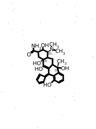 CN(C)[C@@H]1C(O)C(C(N)=O)C[C@@]2(O)C(O)=C3C(=C4C=CC=C4)c4c(O)cccc4[C@@](C)(O)C3CC12